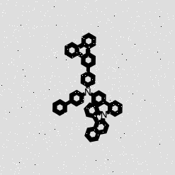 c1ccc(-c2ccc(N(c3ccc(-c4ccc5c6ccccc6c6ccccc6c5c4)cc3)c3ccc(-c4ccccc4-n4c5ccccc5c5c6ccccc6ccc54)cc3)cc2)cc1